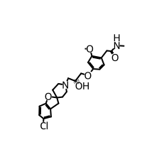 CNC(=O)Cc1ccc(OC[C@H](O)CN2CCC3(CC2)Cc2cc(Cl)ccc2O3)cc1OC